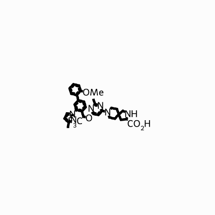 COc1ccccc1-c1ccc([C@@H](Oc2cc(N3CCC4(CC3)CN[C@H](C(=O)O)C4)nc(C)n2)C(F)(F)F)c(-n2ccc(C)n2)c1